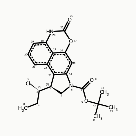 CC[C@H](Cl)[C@@H]1CN(C(=O)OC(C)(C)C)c2cc3c4c(cccc4c21)NC(=O)O3